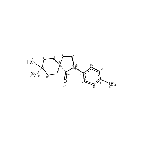 CC(C)[C@]1(O)CC[C@]2(CCN(c3ccc(C(C)(C)C)cc3)C2=O)CC1